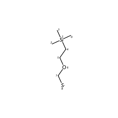 C[Si](C)(C)CCOC[S]